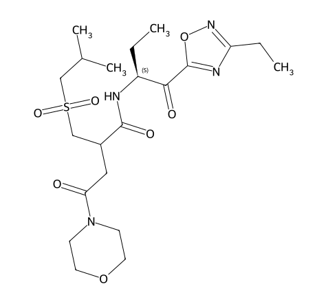 CCc1noc(C(=O)[C@H](CC)NC(=O)C(CC(=O)N2CCOCC2)CS(=O)(=O)CC(C)C)n1